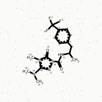 CC(Cc1ccc(C(F)(F)F)cc1)NC(=O)n1nc(N(C)C)n(C)c1=O